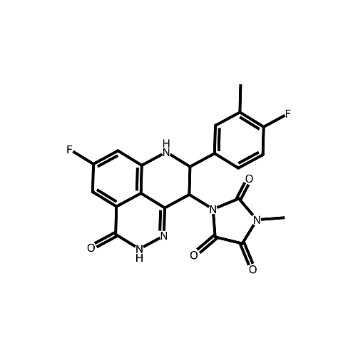 Cc1cc(C2Nc3cc(F)cc4c(=O)[nH]nc(c34)C2N2C(=O)C(=O)N(C)C2=O)ccc1F